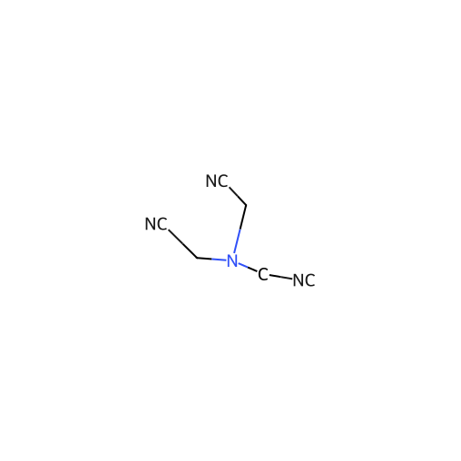 [C-]#[N+]CN(CC#N)CC#N